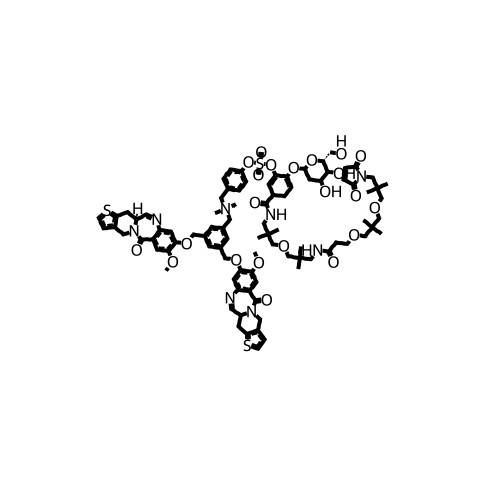 COc1cc2c(cc1OCc1cc(COc3cc4c(cc3OC)C(=O)N3Cc5ccsc5C[C@H]3C=N4)cc(C[N+](C)(C)Cc3ccc(OS(=O)(=O)OC4=CC(C(=O)NCC(C)(C)COCC(C)(C)CNC(=O)CCOCC(C)(C)COCC(C)(C)CN5C(=O)C=CC5=O)CC=C4OC4CC(O)C(O)[C@@H](CO)O4)cc3)c1)N=CC1Cc3sccc3CN1C2=O